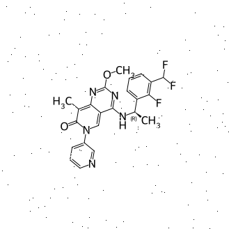 COc1nc(N[C@H](C)c2cccc(C(F)F)c2F)c2cn(-c3cccnc3)c(=O)c(C)c2n1